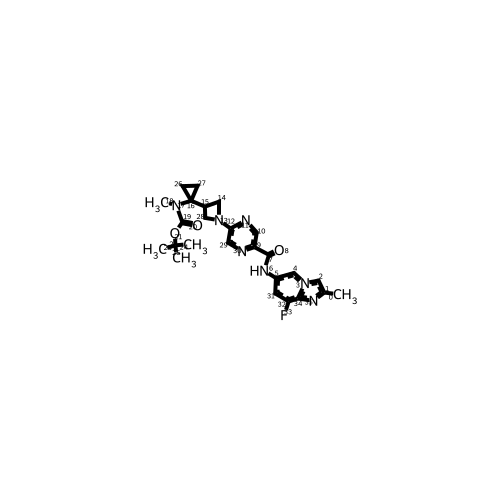 Cc1cn2cc(NC(=O)c3cnc(N4CC(C5(N(C)C(=O)OC(C)(C)C)CC5)C4)cn3)cc(F)c2n1